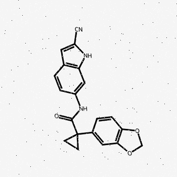 N#Cc1cc2ccc(NC(=O)C3(c4ccc5c(c4)OCO5)CC3)cc2[nH]1